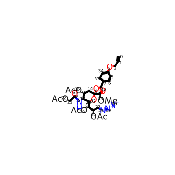 C#CCOc1ccc(CO[C@]2(C(=O)OC)C[C@H](OC(C)=O)[C@@H](NC(=O)COC(C)=O)[C@H]([C@H](OC(C)=O)[C@@H](CN=[N+]=[N-])OC(C)=O)O2)cc1